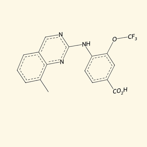 Cc1cccc2cnc(Nc3ccc(C(=O)O)cc3OC(F)(F)F)nc12